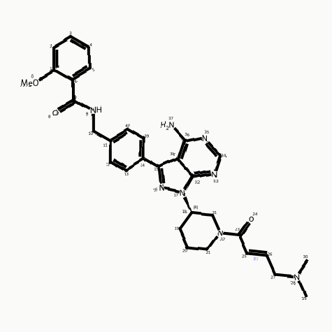 COc1ccccc1C(=O)NCc1ccc(-c2nn([C@@H]3CCCN(C(=O)/C=C/CN(C)C)C3)c3ncnc(N)c23)cc1